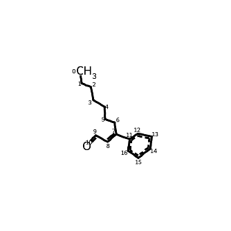 CCCCCCCC(=CC=O)c1ccccc1